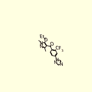 CCOc1c(C(=O)c2ccc(-n3cncn3)cc2C(F)(F)F)c(C)nn1C